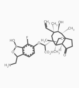 C=C[C@]1(C)C[C@@H](C(Oc2ccc3c(c2F)B(O)OC3CN)C(=O)O)[C@@]2(C)[C@H](C)CC[C@]3(CCC(=O)[C@H]32)[C@@H](C)[C@@H]1O